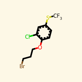 FC(F)(F)Sc1ccc(OCCCBr)c(Cl)c1